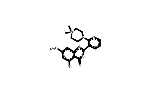 CCc1cc(OC)cc2nc(-c3cccnc3N3CC[N+](C)(C)CC3)oc(=O)c12